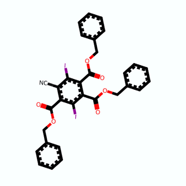 N#Cc1c(I)c(C(=O)OCc2ccccc2)c(C(=O)OCc2ccccc2)c(I)c1C(=O)OCc1ccccc1